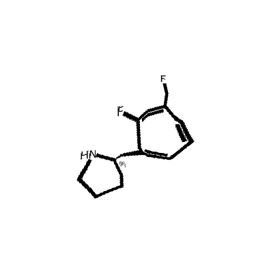 Fc1cccc([C@H]2CCCN2)c1F